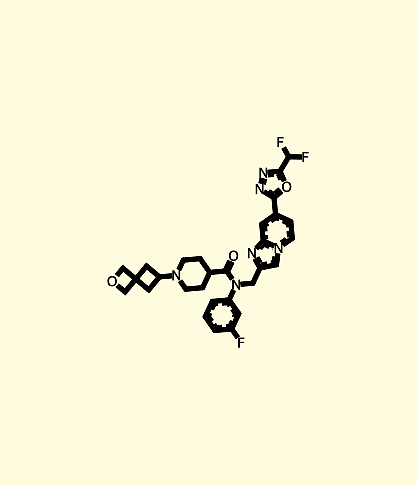 O=C(C1CCN(C2CC3(COC3)C2)CC1)N(Cc1cn2ccc(-c3nnc(C(F)F)o3)cc2n1)c1cccc(F)c1